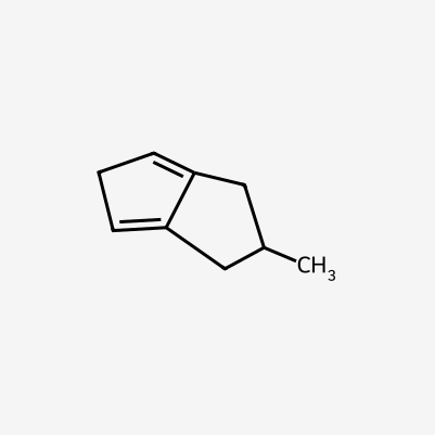 CC1CC2=CCC=C2C1